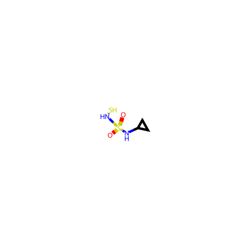 O=S(=O)(NS)NC1CC1